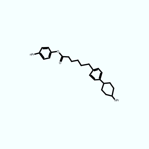 CCCc1ccc(OC(=O)CCCCCc2ccc(C3CCC(CCC)CC3)cc2)cc1